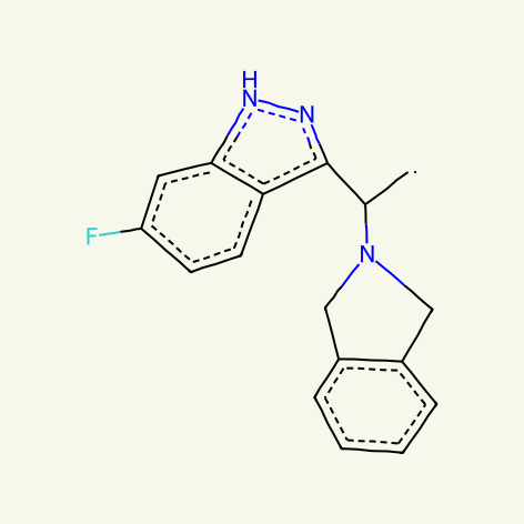 [CH2]C(c1n[nH]c2cc(F)ccc12)N1Cc2ccccc2C1